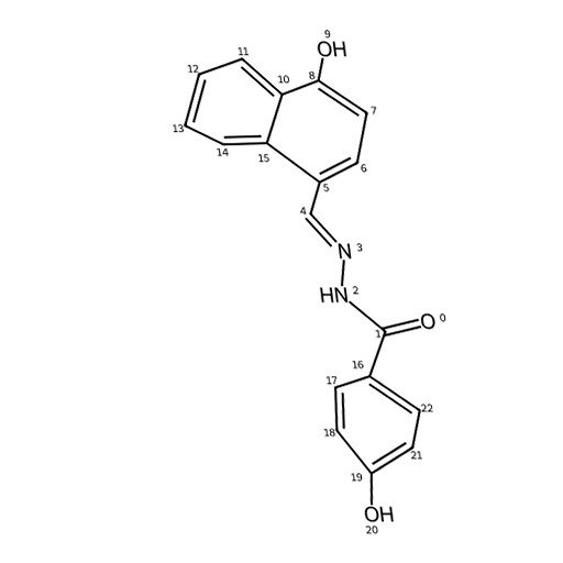 O=C(NN=Cc1ccc(O)c2ccccc12)c1ccc(O)cc1